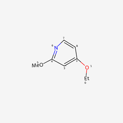 CCOc1[c]c(OC)ncc1